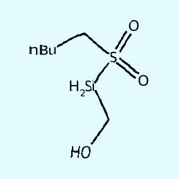 CCCCCS(=O)(=O)[SiH2]CO